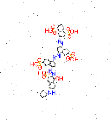 O=S(=O)(O)c1ccc2c(N=Nc3ccc(N=Nc4cc(S(=O)(=O)O)c5cccc(S(=O)(=O)O)c5c4)c4ccc(S(=O)(=O)O)cc34)ccc(N=Nc3c(S(=O)(=O)O)cc4cc(Nc5ccccc5)ccc4c3O)c2c1